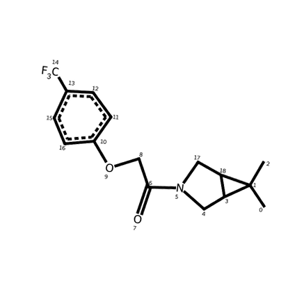 CC1(C)C2CN(C(=O)COc3ccc(C(F)(F)F)cc3)CC21